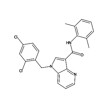 Cc1cccc(C)c1NC(=O)c1cn(Cc2ccc(Cl)cc2Cl)c2cccnc12